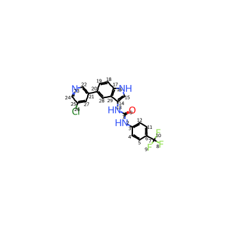 O=C(Nc1ccc(C(F)(F)F)cc1)Nc1c[nH]c2ccc(-c3cncc(Cl)c3)cc12